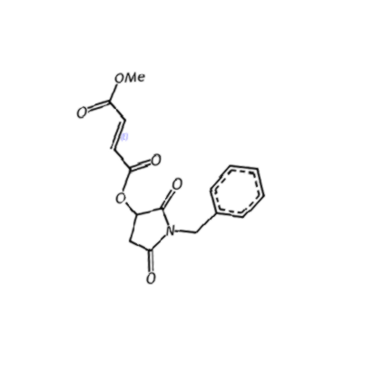 COC(=O)/C=C/C(=O)OC1CC(=O)N(Cc2ccccc2)C1=O